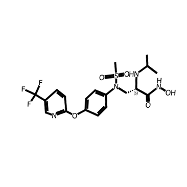 CC(C)N[C@@H](CN(c1ccc(Oc2ccc(C(F)(F)F)cn2)cc1)S(C)(=O)=O)C(=O)NO